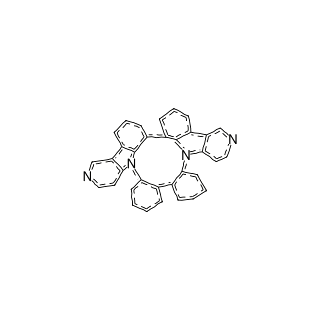 c1ccc2c(c1)c1ccccc1n1c3ccncc3c3cccc(c4cccc5c6cnccc6n2c54)c31